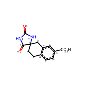 O=C1NC(=O)C2(CCc3ccc(C(=O)O)cc3C2)N1